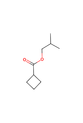 CC(C)COC(=O)C1CCC1